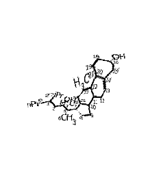 CCC[C@H](C[C@H](O)[C@@H](C)[C@H]1CCC2C3CC=C4C[C@@H](O)CC[C@]4(C)C3CC[C@@]21C)C(C)C